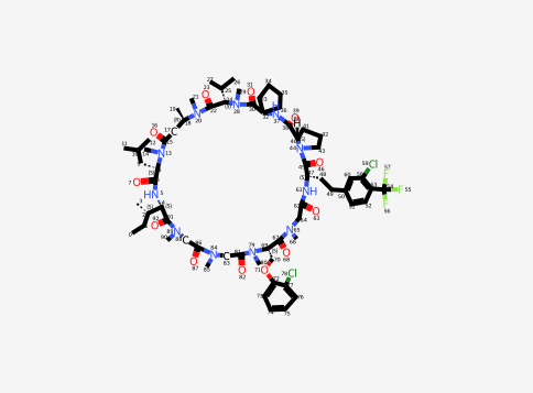 CC[C@H](C)[C@@H]1NC(=O)[C@H](CC(C)C)N(C)C(=O)C[C@@H](C)N(C)C(=O)[C@H](C(C)C)N(C)C(=O)C2(CCCC2)NC(=O)[C@@H]2CCCN2C(=O)[C@H](CCc2ccc(C(F)(F)F)c(Cl)c2)NC(=O)CN(C)C(=O)[C@H](COc2ccccc2Cl)N(C)C(=O)CN(C)C(=O)CN(C)C1=O